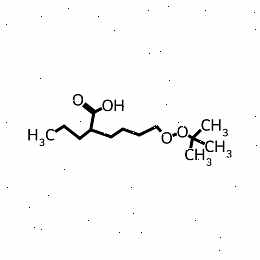 CCCC(CCCCOOC(C)(C)C)C(=O)O